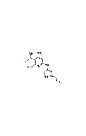 CCN/C=C(\C=N)Nc1nc(N)c(C(=N)Cl)c(N)n1